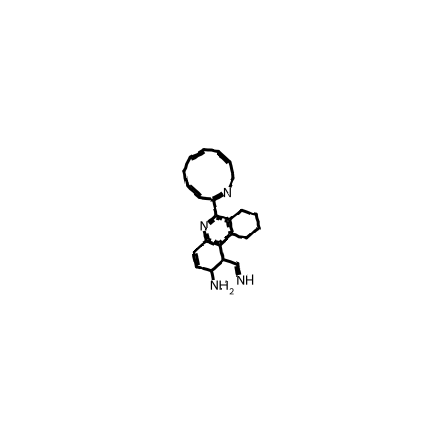 N=CC1c2c(nc(C3=N/C/C=C\C=C/C/C=C\3)c3c2CCCC3)C=CC1N